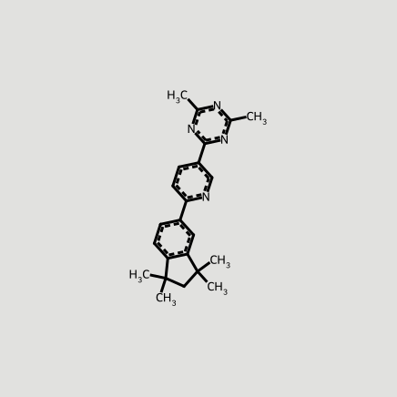 Cc1nc(C)nc(-c2ccc(-c3ccc4c(c3)C(C)(C)CC4(C)C)nc2)n1